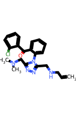 C=CCNCc1nnc(CN(C)C)n1-c1ccccc1C(=O)c1ccccc1Cl